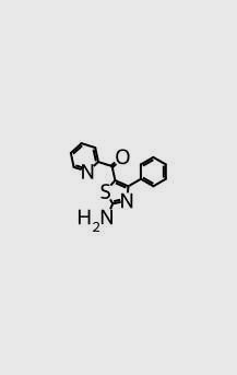 Nc1nc(-c2ccccc2)c(C(=O)c2ccccn2)s1